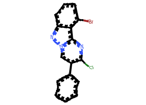 Clc1nc2c3c(Br)cccc3nn2cc1-c1ccccc1